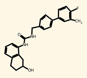 Cc1cc(-c2ccc(CNC(=O)Nc3cccc4c3CC(O)CC4)cc2)ccc1F